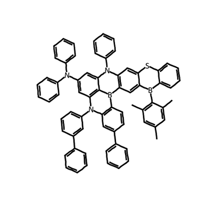 Cc1cc(C)c(B2c3ccccc3Sc3cc4c(cc32)B2c3ccc(-c5ccccc5)cc3N(c3cccc(-c5ccccc5)c3)c3cc(N(c5ccccc5)c5ccccc5)cc(c32)N4c2ccccc2)c(C)c1